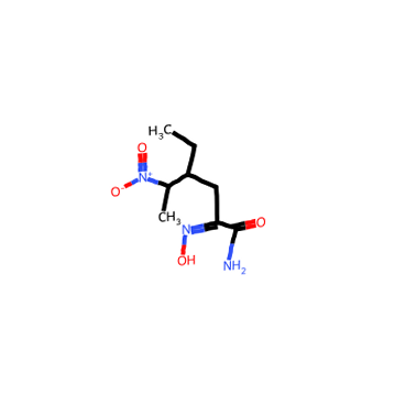 CCC(CC(=NO)C(N)=O)C(C)[N+](=O)[O-]